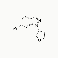 CC(C)c1ccc2cnn([C@@H]3CCOC3)c2c1